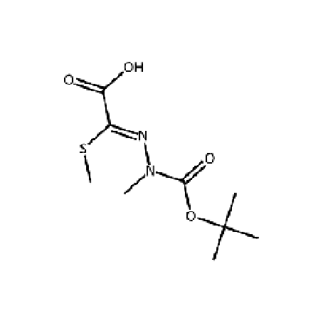 CSC(=NN(C)C(=O)OC(C)(C)C)C(=O)O